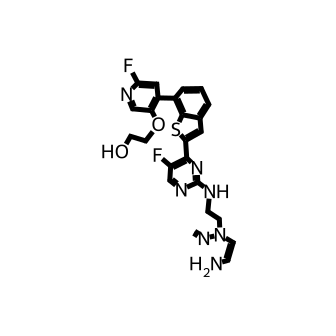 C=NN(/C=C\N)CCNc1ncc(F)c(-c2cc3cccc(-c4cc(F)ncc4OCCO)c3s2)n1